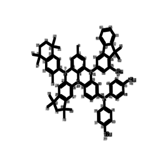 Cc1cc2c3c(c1)N(c1cc4c(cc1C)C(C)(C)CCC4(C)C)c1cc4c(cc1B3c1ccc(N(c3ccc(C(C)(C)C)cc3)c3ccc(C(C)(C)C)cc3)cc1N2c1cc2c(c(C(C)(C)C)c1)C(C)(C)c1ccccc1-2)C(C)(C)CC4(C)C